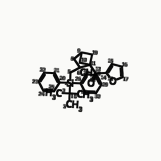 CC(C)(C)[Si](C[C@]1(C)CC2CC1(C(=O)c1ccco1)C2)(c1ccccc1)c1ccccc1